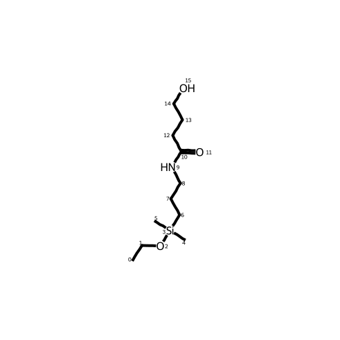 CCO[Si](C)(C)CCCNC(=O)CCCO